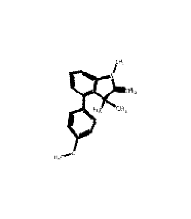 C=C1N(C)c2cccc(-c3ccc(OC)cc3)c2C1(C)C